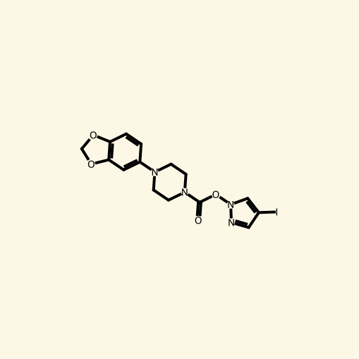 O=C(On1cc(I)cn1)N1CCN(c2ccc3c(c2)OCO3)CC1